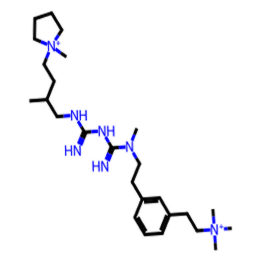 CC(CC[N+]1(C)CCCC1)CNC(=N)NC(=N)N(C)CCc1cccc(CC[N+](C)(C)C)c1